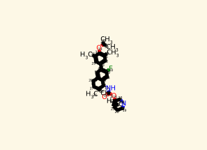 Cc1cc(-c2cc3c(cc2F)[C@H](NC(=O)O[C@H]2CN4CCC2CC4)C(C)(C)CC3)cc(C)c1OC(C)C